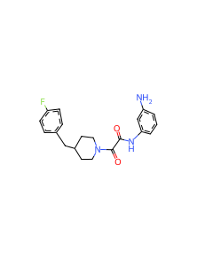 Nc1cccc(NC(=O)C(=O)N2CCC(Cc3ccc(F)cc3)CC2)c1